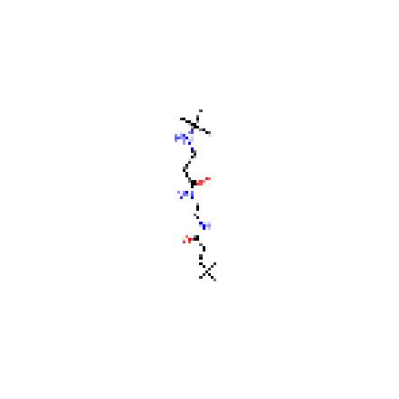 CC(C)(C)CCC(=O)NCCNC(=O)CCNC(C)(C)C